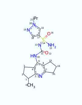 CC1CCc2c1nc1c(c2NC(=O)N=S(N)(=O)c2cnn(C(C)C)c2)CCC1